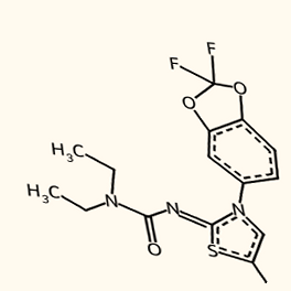 CCN(CC)C(=O)/N=c1\sc(C)cn1-c1ccc2c(c1)OC(F)(F)O2